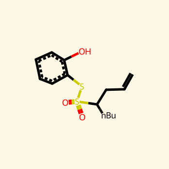 C=CCC(CCCC)S(=O)(=O)Sc1ccccc1O